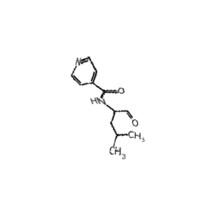 CC(C)CC(C=O)NC(=O)c1ccncc1